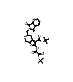 CC(C)(C)OC(=O)C(=O)Nc1sc2c(c1C(=O)OC(C)(C)C)CC(CN1C(=O)c3cccnc3C1=O)OC2